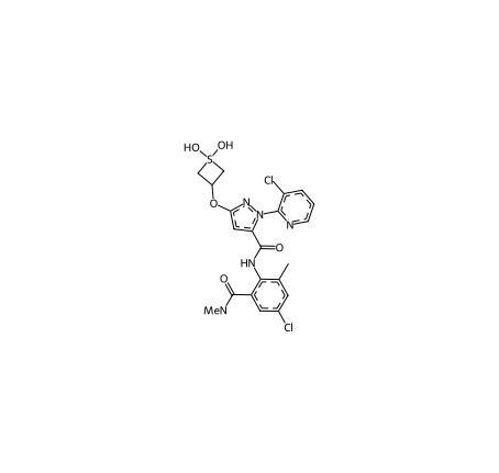 CNC(=O)c1cc(Cl)cc(C)c1NC(=O)c1cc(OC2CS(O)(O)C2)nn1-c1ncccc1Cl